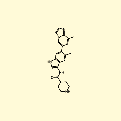 Cc1cc2c(NC(=O)C3CCNCC3)n[nH]c2cc1-c1cc(C)c2ncnn2c1